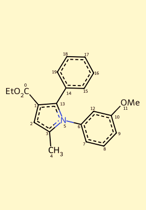 CCOC(=O)c1cc(C)n(-c2cccc(OC)c2)c1-c1ccccc1